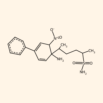 CC(CCC(C)S(N)(=O)=O)C1(N)C=CC(c2ccccc2)=CC1[N+](=O)[O-]